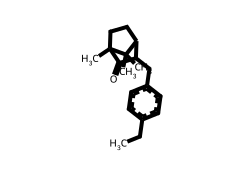 CCc1ccc(CC2C(=O)C3(C)CCC2C3(C)C)cc1